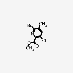 COC(=O)c1nc(Br)c(C)cc1Cl